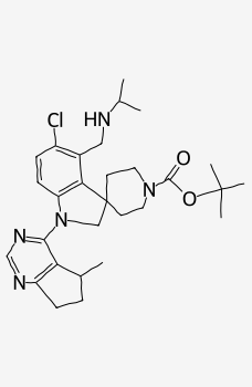 CC(C)NCc1c(Cl)ccc2c1C1(CCN(C(=O)OC(C)(C)C)CC1)CN2c1ncnc2c1C(C)CC2